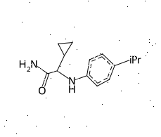 CC(C)c1ccc(NC(C(N)=O)C2CC2)cc1